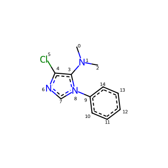 CN(C)c1c(Cl)ncn1-c1ccccc1